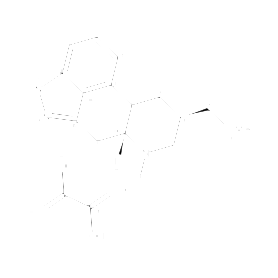 CCN1C[C@H](COC)CC2c3cccc4[nH]nc(c34)C[C@H]21.O=C(O)C(=O)O